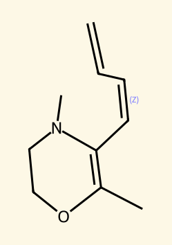 C=C/C=C\C1=C(C)OCCN1C